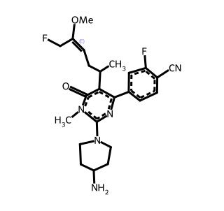 CO/C(=C/CC(C)c1c(-c2ccc(C#N)c(F)c2)nc(N2CCC(N)CC2)n(C)c1=O)CF